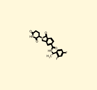 C[C@H](NC(=O)c1ccc2c(c1)CN(C1CCC(=O)NC1=O)C2=O)c1ccc(F)cc1F